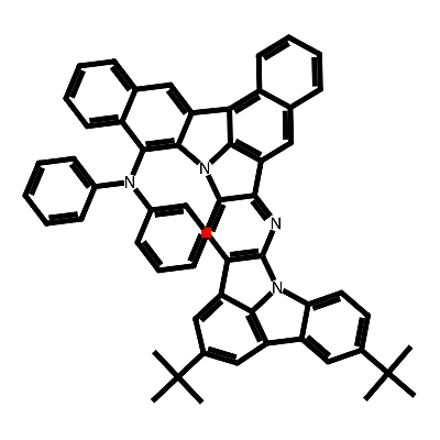 CC(C)(C)c1ccc2c(c1)c1cc(C(C)(C)C)cc3c4cc5c(nc4n2c13)c1cc2ccccc2c2c3cc4ccccc4c(N(c4ccccc4)c4ccccc4)c3n5c12